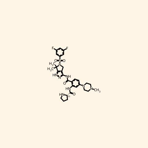 CN1CCN(c2ccc(C(=O)Nc3n[nH]c4c3CN(S(=O)(=O)c3cc(F)cc(F)c3)C4(C)C)c(NC(=O)[C@@H]3CCCN3)c2)CC1